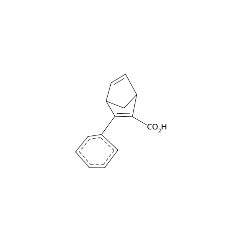 O=C(O)C1=C(c2ccccc2)C2C=CC1C2